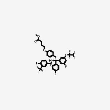 COC(=O)CCCOc1ccc(C[C@](NC(=O)c2ccc(F)c(C(F)(F)F)c2)(c2ccc(F)cc2)c2cc(F)cc(OC(F)(F)C(F)F)c2)cc1